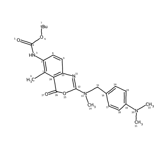 Cc1c(NC(=O)OC(C)(C)C)ccc2nc(N(C)Cc3ccc(N(C)C)cc3)oc(=O)c12